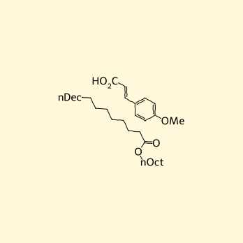 CCCCCCCCCCCCCCCCCC(=O)OCCCCCCCC.COc1ccc(C=CC(=O)O)cc1